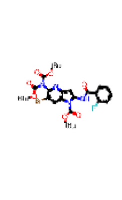 CC(C)(C)OC(=O)N(C(=O)OC(C)(C)C)c1nc2cc(NC(=O)c3ccccc3F)n(C(=O)OC(C)(C)C)c2cc1Br